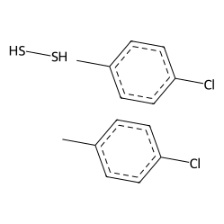 Cc1ccc(Cl)cc1.Cc1ccc(Cl)cc1.SS